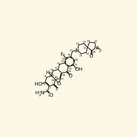 C=C1C(C(N)=O)=C(O)C[C@@H]2CC3Cc4c(F)c(CN5CCC6(CC5)CCN(C)C6=O)cc(O)c4C(=O)C3=C3O[C@]132